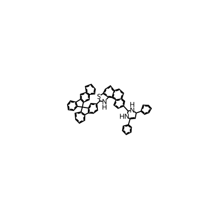 C1=C(c2ccccc2)NC(c2ccc3c(ccc4ccc5c(c43)NC(c3ccc4c(c3)C3(c6ccccc6-4)c4ccccc4-c4cc6ccccc6cc43)S5)c2)NC1c1ccccc1